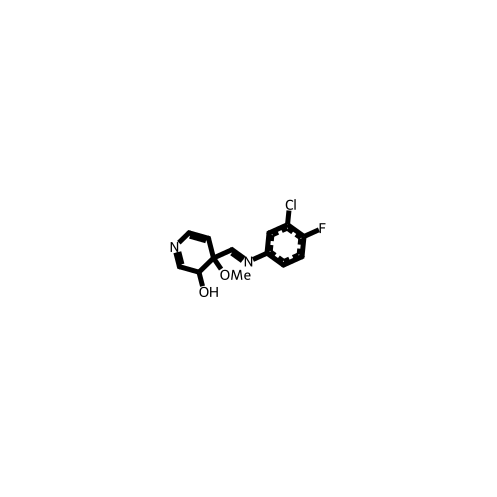 COC1(C=Nc2ccc(F)c(Cl)c2)C=CN=CC1O